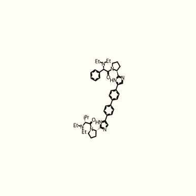 CCN(CC)[C@@H](C(=O)N1CCC[C@H]1c1ncc(-c2ccc(-c3ccc(-c4cnc([C@@H]5CCCN5C(=O)[C@@H](C(C)C)N(CC)CC)[nH]4)cc3)cc2)[nH]1)c1ccccc1